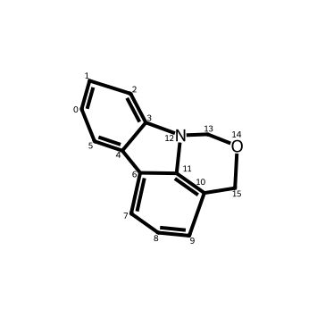 c1ccc2c(c1)c1cccc3c1n2COC3